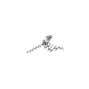 CCCCCCCCCCCCNC(=O)C(CNC(=N)N)NC(=O)CCCCCCCCCCC